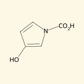 O=C(O)n1ccc(O)c1